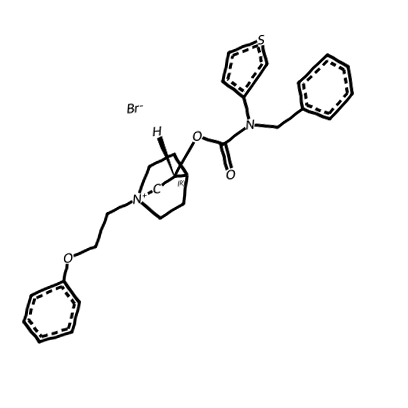 O=C(O[C@H]1C[N+]2(CCOc3ccccc3)CCC1CC2)N(Cc1ccccc1)c1ccsc1.[Br-]